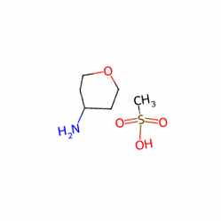 CS(=O)(=O)O.NC1CCOCC1